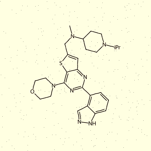 CC(C)N1CCC(N(C)Cc2cc3nc(-c4cccc5[nH]ncc45)nc(N4CCOCC4)c3s2)CC1